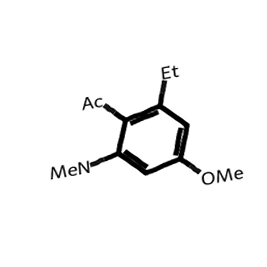 CCc1cc(OC)cc(NC)c1C(C)=O